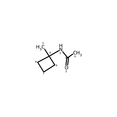 CC(=O)NC1(C)CCC1